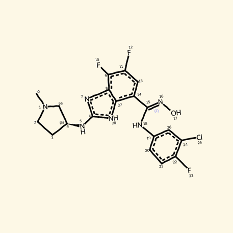 CN1CC[C@H](Nc2nc3c(F)c(F)cc(/C(=N/O)Nc4ccc(F)c(Cl)c4)c3[nH]2)C1